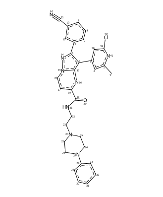 Cc1cc(-c2c(-c3cccc(C#N)c3)nn3ccc(C(=O)NCCN4CCN(c5ccccc5)CC4)nc23)cc(Cl)n1